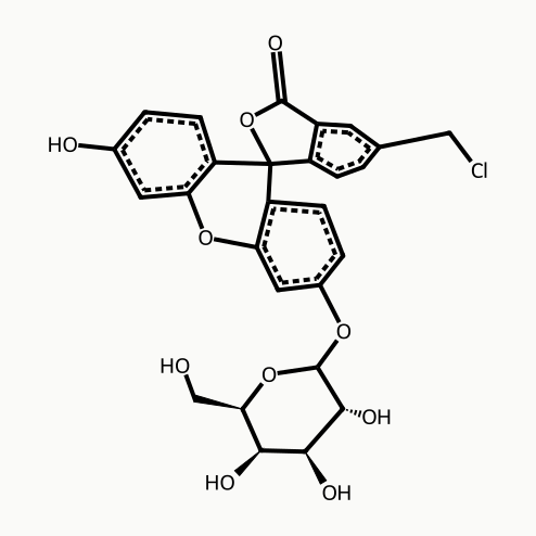 O=C1OC2(c3ccc(O)cc3Oc3cc(OC4O[C@H](CO)[C@H](O)[C@H](O)[C@H]4O)ccc32)c2ccc(CCl)cc21